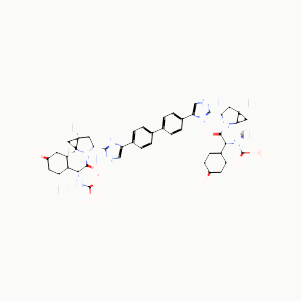 CN(C(=O)O)[C@H](C(=O)N1[C@@H]2C[C@@H]2C[C@H]1c1nc(-c2ccc(-c3ccc(-c4c[nH]c([C@@H]5C[C@H]6C[C@H]6N5C(=O)[C@H](C5CCC(=O)CC5)N(C)C(=O)O)n4)cc3)cc2)c[nH]1)C1CCC(=O)CC1